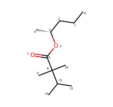 CCC[C@@H](C)OC(=O)C(C)(C)C(C)C